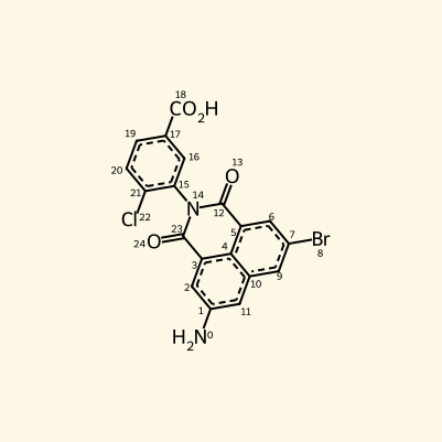 Nc1cc2c3c(cc(Br)cc3c1)C(=O)N(c1cc(C(=O)O)ccc1Cl)C2=O